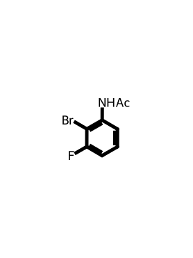 CC(=O)Nc1cccc(F)c1Br